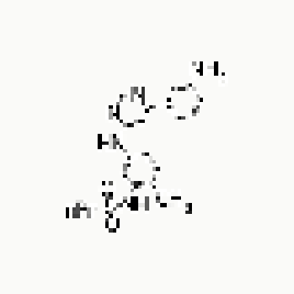 CCCS(=O)(=O)Nc1cc(Nc2cc(-c3cccc(N)c3)ncn2)ccc1C